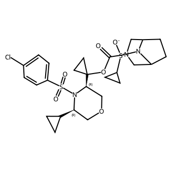 O=C(OC1([C@H]2COC[C@@H](C3CC3)N2S(=O)(=O)c2ccc(Cl)cc2)CC1)N1CC2CCC(C1)N2[S+]([O-])C1CC1